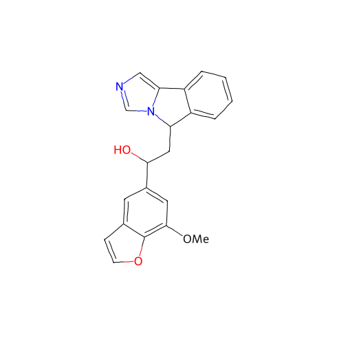 COc1cc(C(O)CC2c3ccccc3-c3cncn32)cc2ccoc12